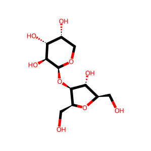 OC[C@@H]1O[C@H](CO)[C@@H](O)[C@@H]1O[C@@H]1OC[C@@H](O)[C@@H](O)[C@@H]1O